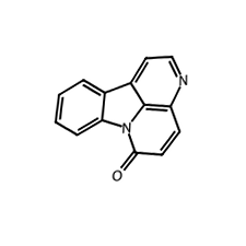 O=c1ccc2nccc3c4ccccc4n1c23